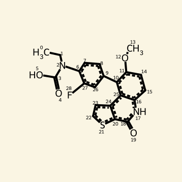 CCN(C(=O)O)c1ccc(-c2c(OC)ccc3[nH]c(=O)c4sccc4c23)cc1F